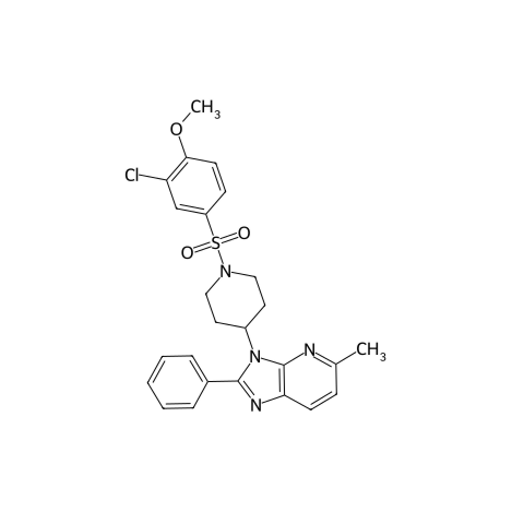 COc1ccc(S(=O)(=O)N2CCC(n3c(-c4ccccc4)nc4ccc(C)nc43)CC2)cc1Cl